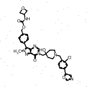 Cn1nc2c(=O)n(CC3(O)CCN(Cc4ccc(-c5cnco5)cc4Cl)CC3)cnc2c1-c1ccc(COC(=O)NC2COC2)cc1